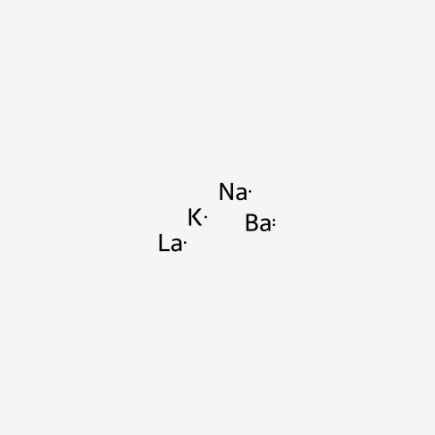 [Ba].[K].[La].[Na]